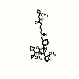 Cn1nccc1C(=O)N[C@H](C(=O)Nc1cccc(CNCCCCC(=O)NCC2(C)CCC2)c1)C(C1CCC1)C1(C)CC1